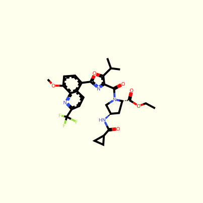 CCOC(=O)[C@@H]1C[C@@H](NC(=O)C2CC2)CN1C(=O)c1nc(-c2ccc(OC)c3nc(C(F)(F)F)ccc23)oc1C(C)C